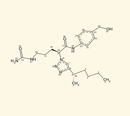 CCCC[C@H](C)c1cn([C@@H](CCCNC(N)=O)C(=O)Nc2ccc(CO)cc2)nn1